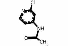 CC(=O)Nc1ccnc(Cl)c1